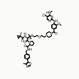 CNc1nc(Nc2ccc(C(=O)N3CCN(CCOCCSC(C)(C)[C@H](NC(=O)C4(F)CC4)C(=O)N4CCCC4C(=O)NCc4ccc(-c5scnc5C)cc4)CC3)cc2OC)ncc1Cl